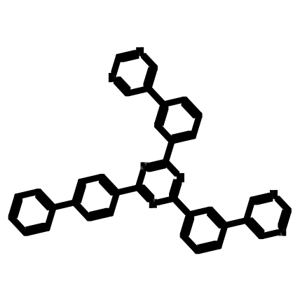 c1ccc(-c2ccc(-c3nc(-c4cccc(-c5cncnc5)c4)nc(-c4cccc(-c5cncnc5)c4)n3)cc2)cc1